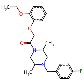 CCOc1ccccc1OCC(=O)N1CC(C)N(Cc2ccc(F)cc2)CC1C